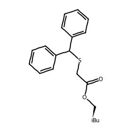 CC[C@H](C)COC(=O)CSC(c1ccccc1)c1ccccc1